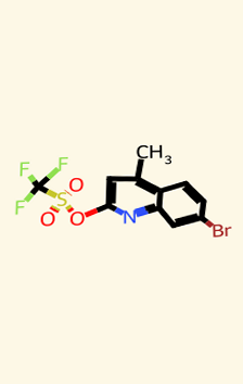 Cc1cc(OS(=O)(=O)C(F)(F)F)nc2cc(Br)ccc12